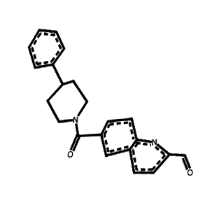 O=Cc1ccc2cc(C(=O)N3CCC(c4ccccc4)CC3)ccc2n1